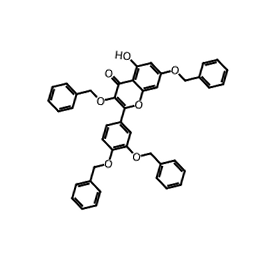 O=c1c(OCc2ccccc2)c(-c2ccc(OCc3ccccc3)c(OCc3ccccc3)c2)oc2cc(OCc3ccccc3)cc(O)c12